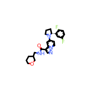 O=C(NCC1CCCOC1)c1cnn2ccc(N3CCC[C@@H]3c3cc(F)ccc3F)cc12